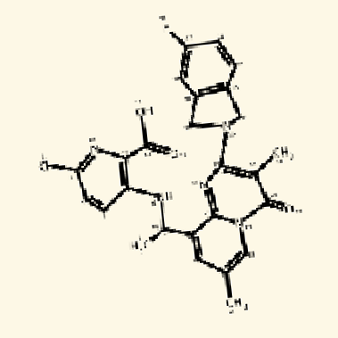 Cc1cc([C@@H](C)Nc2ccc(Cl)nc2C(=O)O)c2nc(N3Cc4ccc(F)cc4C3)c(C)c(=O)n2c1